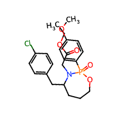 CCOC(=O)CN1C(Cc2ccc(Cl)cc2)CCCOP1(=O)c1ccc(OC)cc1